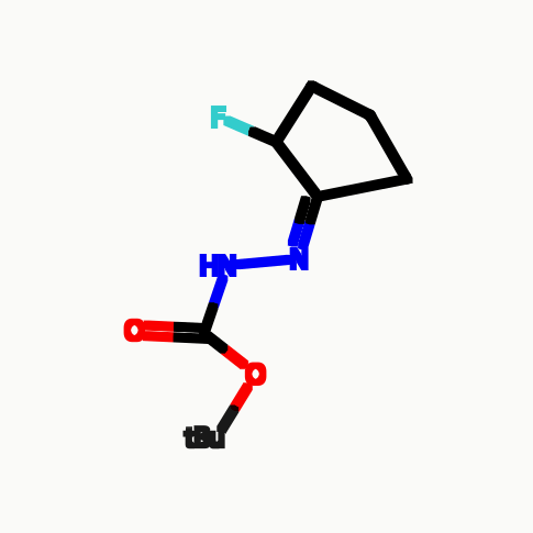 CC(C)(C)OC(=O)NN=C1CCCC1F